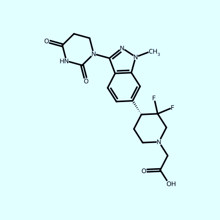 Cn1nc(N2CCC(=O)NC2=O)c2ccc([C@H]3CCN(CC(=O)O)CC3(F)F)cc21